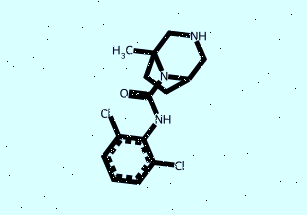 CC12CCC(CNC1)N2C(=O)Nc1c(Cl)cccc1Cl